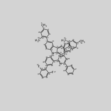 Cc1ccc(-c2ccc3c(c2)c2cc(-c4ccc(C)cc4C)ccc2n3-c2ccc(-c3c(F)cccc3F)cc2-c2nc(-c3ccccc3)nc(-c3ccccc3)n2)c(C)c1